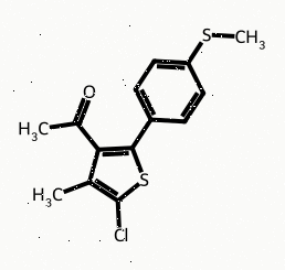 CSc1ccc(-c2sc(Cl)c(C)c2C(C)=O)cc1